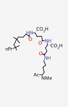 CCCC(C)(C)CC(C)(C)CCCC(=O)N[C@@H](CCC(=O)N[C@@H](CCC(=O)NCCCC[C@H](NC)C(C)=O)C(=O)O)C(=O)O